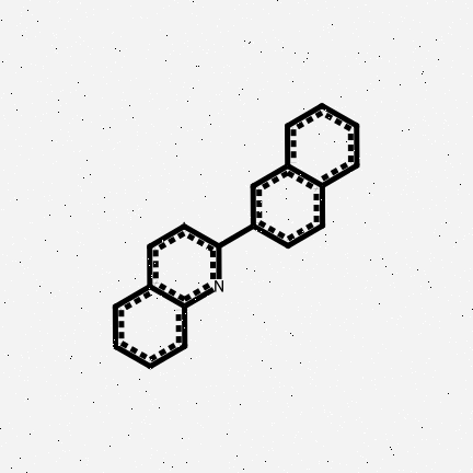 [c]1cc2ccccc2nc1-c1ccc2ccccc2c1